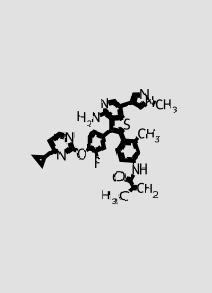 C=C(C)C(=O)Nc1ccc(-c2sc3c(-c4cnn(C)c4)cnc(N)c3c2-c2ccc(Oc3nccc(C4CC4)n3)c(F)c2)c(C)c1